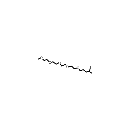 COCCOCCOCCOCCOCCCC(C)I